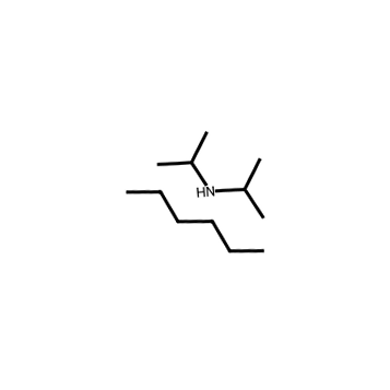 CC(C)NC(C)C.CCCCCC